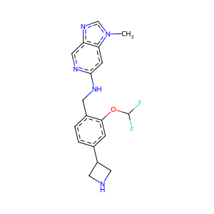 Cn1cnc2cnc(NCc3ccc(C4CNC4)cc3OC(F)F)cc21